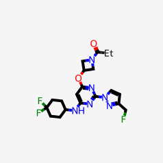 CCC(=O)N1CC(Oc2cc(NC3CCC(F)(F)CC3)nc(-n3ccc(CF)n3)n2)C1